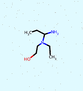 CCC(N)N(CC)CCO